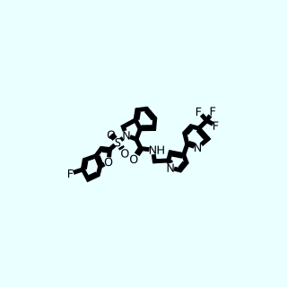 O=C(NCc1cc(-c2ccc(C(F)(F)F)cn2)ccn1)C1c2ccccc2CN1S(=O)(=O)c1cc2cc(F)ccc2o1